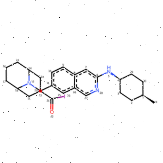 C[C@H]1CC[C@@H](Nc2cc3ccc(CN4C5CCCC4CC(C(=O)I)C5)cc3cn2)CC1